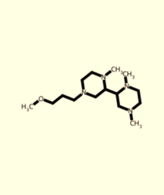 COCCCN1CCN(C)C(C2CN(C)CCN2C)C1